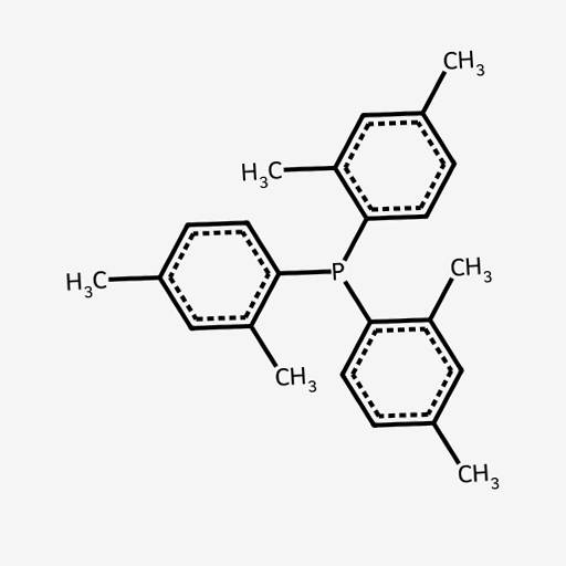 Cc1ccc(P(c2ccc(C)cc2C)c2ccc(C)cc2C)c(C)c1